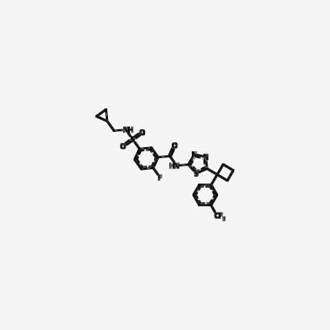 O=C(Nc1nnc(C2(c3cccc(C(F)(F)F)c3)CCC2)s1)c1cc(S(=O)(=O)NCC2CC2)ccc1F